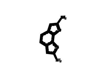 Nc1cc2ccc3cc(N)sc3c2o1